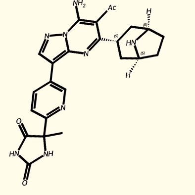 CC(=O)c1c([C@@H]2C[C@H]3CC[C@@H](C2)N3)nc2c(-c3ccc(C4(C)NC(=O)NC4=O)nc3)cnn2c1N